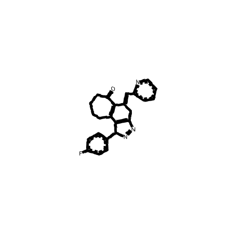 O=C1CCCCC2=C1C(=Cc1ccccn1)CC1=C2C(c2ccc(F)cc2)N=N1